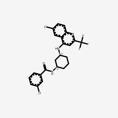 O=C(N[C@@H]1CCC[C@H](Nc2cc(C(F)(F)F)nc3ccc(Cl)cc23)C1)c1cccc(Cl)c1